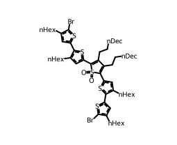 CCCCCCCCCCCCC1=C(c2cc(CCCCCC)c(-c3cc(CCCCCC)c(Br)s3)s2)S(=O)(=O)C(c2cc(CCCCCC)c(-c3cc(CCCCCC)c(Br)s3)s2)=C1CCCCCCCCCCCC